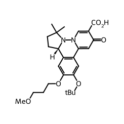 COCCCOc1cc2c(cc1OC(C)(C)C)-c1cc(=O)c(C(=O)O)cn1N1[C@H]2CCC1(C)C